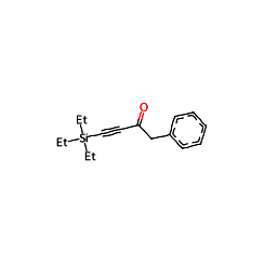 CC[Si](C#CC(=O)Cc1ccccc1)(CC)CC